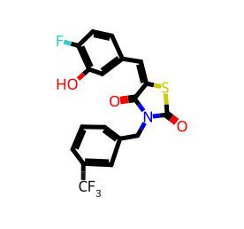 O=C1SC(=Cc2ccc(F)c(O)c2)C(=O)N1Cc1cccc(C(F)(F)F)c1